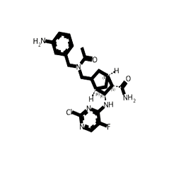 CC(=O)N(Cc1cccc(N)c1)CC1C[C@@H]2C[C@H]1[C@@H](Nc1nc(Cl)ncc1F)[C@H]2C(N)=O